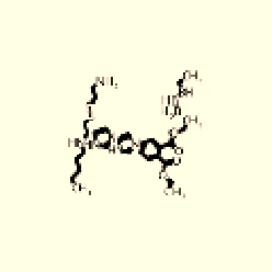 BBBCC.CCCCCNCCSSCCN.CCOC(=O)c1ccccc1C(=O)OCC.c1c[nH]cn1.c1c[nH]cn1